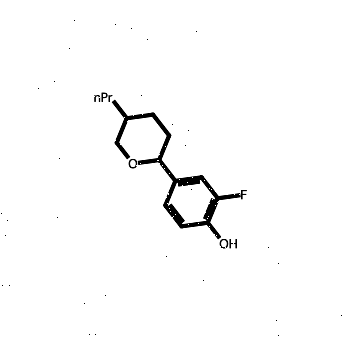 CCCC1CCC(c2ccc(O)c(F)c2)OC1